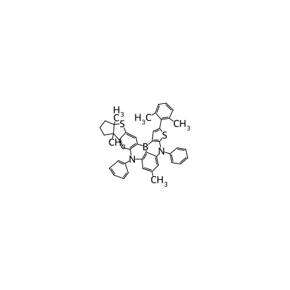 Cc1cc2c3c(c1)N(c1ccccc1)c1sc(-c4c(C)cccc4C)cc1B3c1cc3c(cc1N2c1ccccc1)C1(C)CCCC1(C)S3